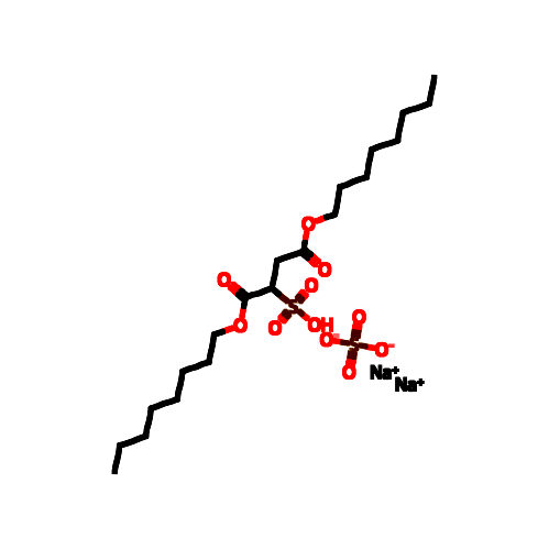 CCCCCCCCOC(=O)CC(C(=O)OCCCCCCCC)S(=O)(=O)O.O=S(=O)([O-])[O-].[Na+].[Na+]